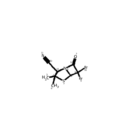 CC1(C)SC2N(C(=O)C2(Br)Br)C1C#N